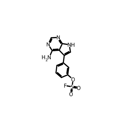 Nc1ncnc2[nH]cc(-c3cccc(OS(=O)(=O)F)c3)c12